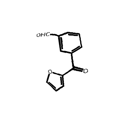 O=Cc1cccc(C(=O)c2ccco2)c1